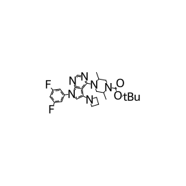 CC1CN(c2ncnc3c2c(N2CCC2)cn3-c2cc(F)cc(F)c2)C(C)CN1C(=O)OC(C)(C)C